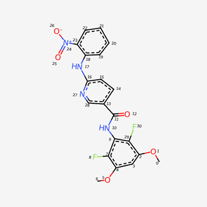 COc1cc(OC)c(F)c(NC(=O)c2ccc(Nc3ccccc3[N+](=O)[O-])nc2)c1F